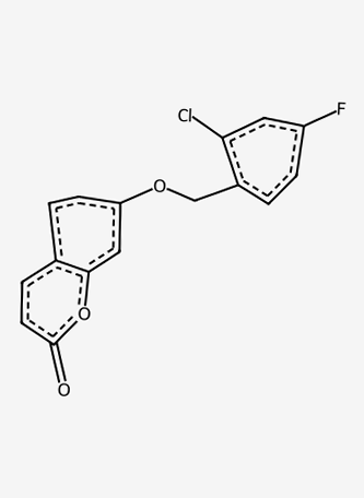 O=c1ccc2ccc(OCc3ccc(F)cc3Cl)cc2o1